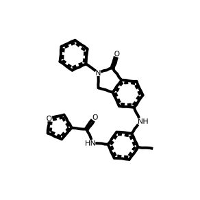 Cc1ccc(NC(=O)c2ccoc2)cc1Nc1ccc2c(c1)CN(c1ccccc1)C2=O